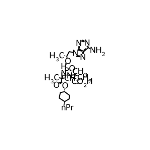 CCC[C@H]1CC[C@H](OC(=O)C(C)(C)NP(=O)(CO[C@H](C)Cn2cnc3c(N)ncnc32)NC(C)(C)C(=O)O)CC1